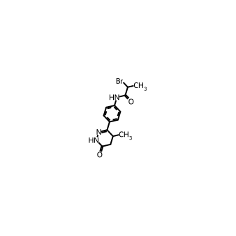 CC(Br)C(=O)Nc1ccc(C2=NNC(=O)CC2C)cc1